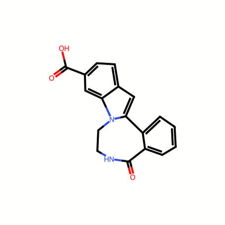 O=C(O)c1ccc2cc3n(c2c1)CCNC(=O)c1ccccc1-3